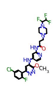 COc1nnc(-c2cc(Cl)ccc2F)cc1Nc1ccnc(NC(=O)CCN2CCN(C(F)C(F)F)CC2)c1